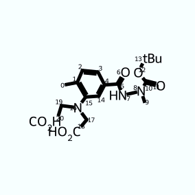 Cc1ccc(C(=O)NN(C)C(=O)OC(C)(C)C)cc1N(CC(=O)O)CC(=O)O